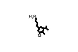 Cc1c(Cl)cc(CCCCN)cc1C(C)C